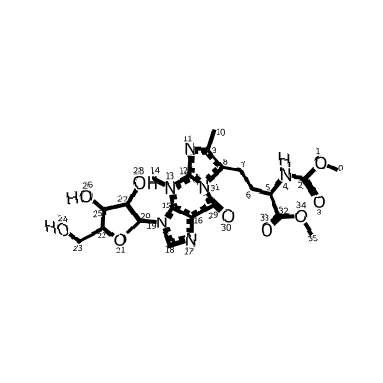 COC(=O)NC(CCc1c(C)nc2n(C)c3c(ncn3C3OC(CO)C(O)C3O)c(=O)n12)C(=O)OC